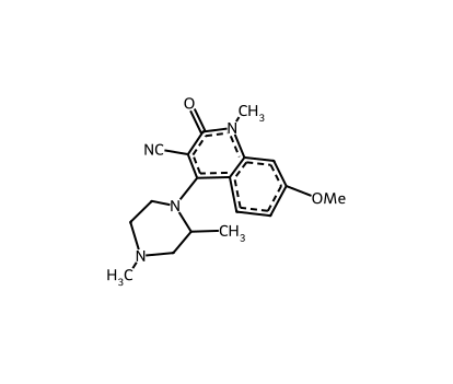 COc1ccc2c(N3CCN(C)CC3C)c(C#N)c(=O)n(C)c2c1